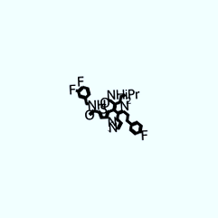 CC(C)Cc1nc(CCc2ccc(F)cc2)c(-c2ccn(C)n2)c(-c2ccc(C(=O)NCc3ccc(F)c(F)c3)s2)c1C(N)=O